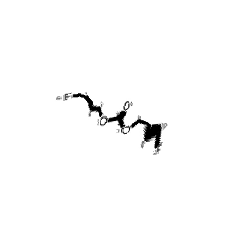 O=C(OCC=CF)OCC=CF